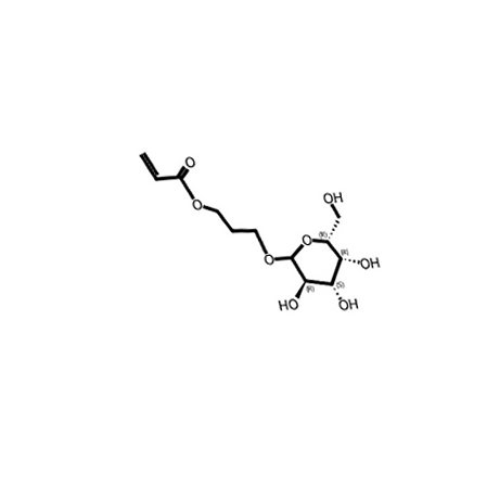 C=CC(=O)OCCCOC1O[C@H](CO)[C@H](O)[C@H](O)[C@H]1O